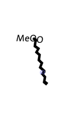 C=CC/C=C/CCCCCCCC(=O)OC